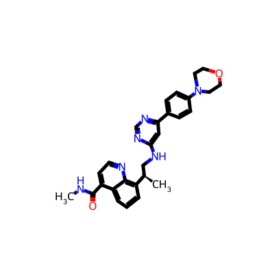 CNC(=O)c1ccnc2c([C@H](C)CNc3cc(-c4ccc(N5CCOCC5)cc4)ncn3)cccc12